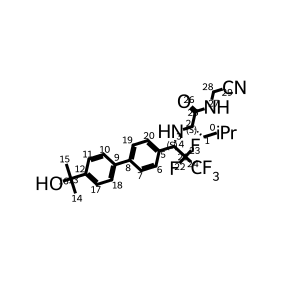 CC(C)C[C@H](N[C@@H](c1ccc(-c2ccc(C(C)(C)O)cc2)cc1)C(F)(F)C(F)(F)F)C(=O)NCC#N